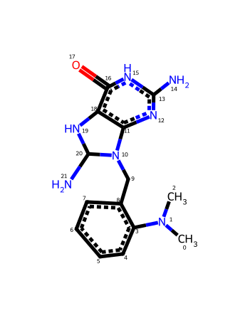 CN(C)c1ccccc1CN1c2nc(N)[nH]c(=O)c2NC1N